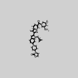 Cc1c(-c2cc3ccc(N4CCC(N5CCOC5=O)CC4)cc3n2CC2CC2)nn2cc(C(=O)N3C[C@H](N)C[C@@H](F)C3)ccc12